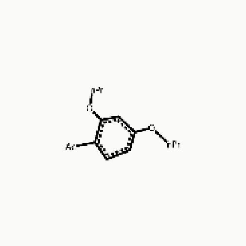 CCCOc1ccc(C(C)=O)c(OCCC)c1